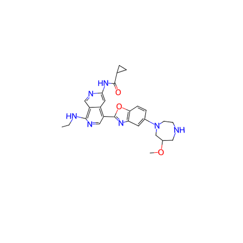 CCNc1ncc(-c2nc3cc(N4CCNCC(OC)C4)ccc3o2)c2cc(NC(=O)C3CC3)ncc12